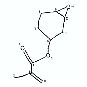 C=C(C)C(=O)OC1CCC2OC2C1